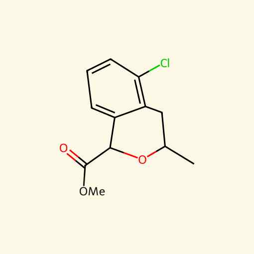 COC(=O)C1OC(C)Cc2c(Cl)cccc21